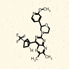 COc1cc(C2CN(c3nc(C4C[C@]5(C(F)(F)F)C[C@@H]4C5)c4nc(C)c(C)nc4n3)CCO2)ccn1